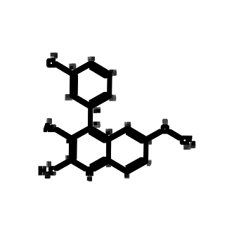 CC(=O)c1c(C)nc2ccc(OC(F)(F)F)cc2c1-c1cccc(Cl)c1